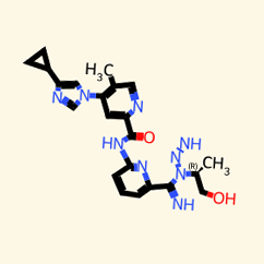 Cc1cnc(C(=O)Nc2cccc(C(=N)N(N=N)[C@H](C)CO)n2)cc1-n1cnc(C2CC2)c1